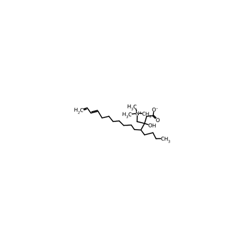 C=CC=CCCCCCCCC(CCCC)C(O)(CC(=O)[O-])C[N+](C)(C)C